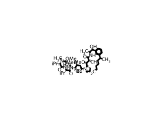 C=CCCCC(C)c1cccc([C@H](O)[C@@H](C)NC(=O)[C@H](C)[C@@H](OC)[C@@H]2CCCN2C(=O)C[C@@H](OC)[C@H]([C@@H](C)CC)N(C)C(=O)[C@@H](NC(=O)[C@H](C(C)C)N(C)C(=O)OC)C(C)C)c1